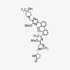 C=N/C(CNC[C@@H]1CCC(=O)N1)=C(\N=C(/C)c1cccc(-c2cccc(-c3cnc(CN4CCC(O)(C(F)(F)F)CC4)c(OC)n3)c2Cl)c1Cl)OC